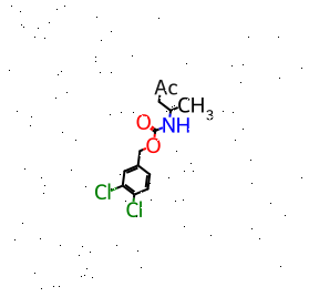 CC(=O)CC(C)NC(=O)OCc1ccc(Cl)c(Cl)c1